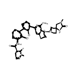 COc1nc(-c2cccc(-c3cccc(NC(=O)c4ccnn(C)c4=O)c3Cl)c2Cl)cc2c1[C@@H](N1CC3(CN(C)C(=O)N3)C1)CC2